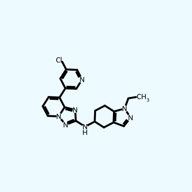 CCn1ncc2c1CCC(Nc1nc3c(-c4cncc(Cl)c4)cccn3n1)C2